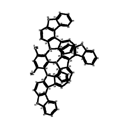 N#Cc1cc(C#N)c(-n2c3ccccc3c3c4c(ccc32)oc2ccccc24)c(-n2c3ccccc3c3c4c(ccc32)oc2ccccc24)c1-n1c2ccccc2c2c3c(ccc21)oc1ccccc13